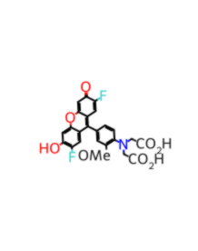 COc1cc(-c2c3cc(F)c(=O)cc-3oc3cc(O)c(F)cc23)ccc1N(CC(=O)O)CC(=O)O